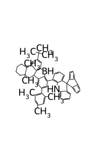 Cc1cc(C)c(-c2cc(-c3cccc4c3Nc3ccccc3C43c4ccccc4-c4ccccc43)c3c(c2)C2CC4(C)CCCCC4(C)c4cc(C(C)(C)C)cc(c42)B3)c(C)c1